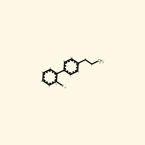 [CH2]CCc1ccc(-c2ccccc2F)cc1